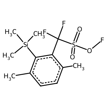 Cc1ccc(C)c([Si](C)(C)C)c1C(F)(F)S(=O)(=O)OF